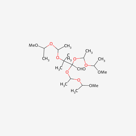 COC(C)OC(C)OC(C)(C)C(C=O)(OC(C)OC(C)OC)OC(C)OC(C)OC